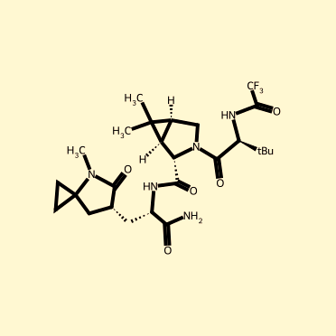 CN1C(=O)[C@H](C[C@H](NC(=O)[C@@H]2[C@@H]3[C@H](CN2C(=O)[C@@H](NC(=O)C(F)(F)F)C(C)(C)C)C3(C)C)C(N)=O)CC12CC2